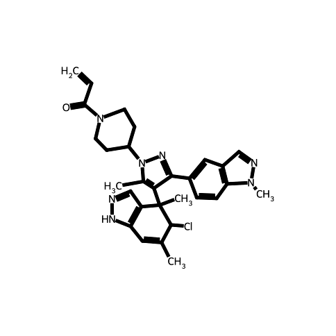 C=CC(=O)N1CCC(n2nc(-c3ccc4c(cnn4C)c3)c(C3(C)c4cn[nH]c4C=C(C)C3Cl)c2C)CC1